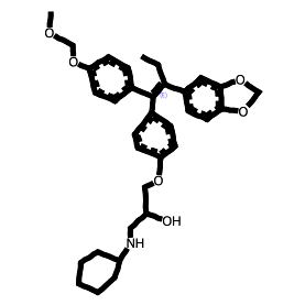 CC/C(=C(\c1ccc(OCOC)cc1)c1ccc(OCC(O)CNC2CCCCC2)cc1)c1ccc2c(c1)OCO2